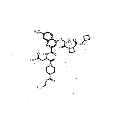 CCOC(=O)N1CCN(C(=O)C(CC(=O)O)NC(=O)c2cc(O[C@H](C)C(=O)N3CCC3C(=O)NC3CCC3)c3ccc(C)cc3n2)CC1